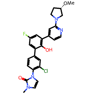 CO[C@H]1CCN(c2cc(-c3cc(F)cc(-c4ccc(-n5ccn(C)c5=O)c(Cl)c4)c3O)ccn2)C1